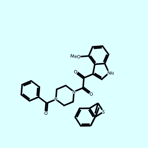 COc1cccc2[nH]cc(C(=O)C(=O)N3CCN(C(=O)c4ccccc4)CC3)c12.c1cc2c3sc-2cc3c1